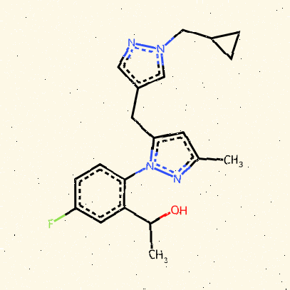 Cc1cc(Cc2cnn(CC3CC3)c2)n(-c2ccc(F)cc2C(C)O)n1